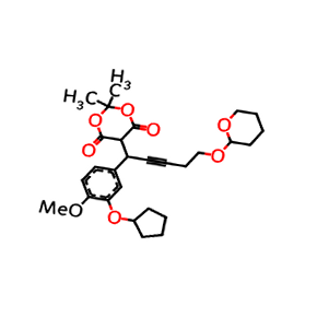 COc1ccc(C(C#CCCOC2CCCCO2)C2C(=O)OC(C)(C)OC2=O)cc1OC1CCCC1